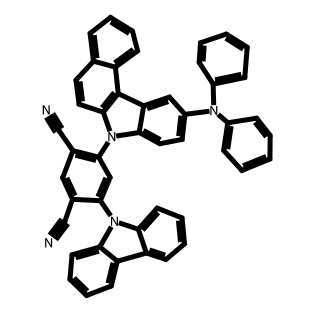 N#Cc1cc(C#N)c(-n2c3ccc(N(c4ccccc4)c4ccccc4)cc3c3c4ccccc4ccc32)cc1-n1c2ccccc2c2ccccc21